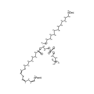 CCCCC/C=C\C/C=C\C/C=C\CCCCCCCCC(=O)O[C@H](COCCCCCCCCCCCCCCCCCCCCCC)COP(=O)([O-])OCC[N+](C)(C)C